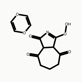 C1=COC=CO1.O=C1CCCC(=O)C2C(OO)=NC(=O)C12